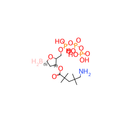 B[C@H]1C[C@@H](OC(=O)C(C)(C)CC(C)(C)CN)C(COP(=O)(O)OP(=O)(O)OP(=O)(O)O)O1